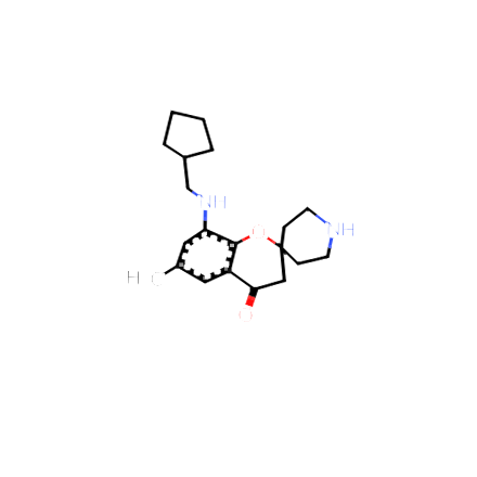 Cc1cc(NCC2CCCC2)c2c(c1)C(=O)CC1(CCNCC1)O2